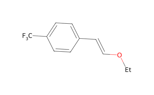 CCOC=Cc1ccc(C(F)(F)F)cc1